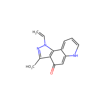 C=Cn1nc(C(=O)O)c2c(=O)cc3[nH]cccc-3c21